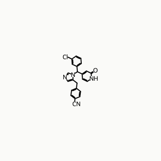 N#Cc1ccc(Cc2cncn2C(c2cccc(Cl)c2)c2cc[nH]c(=O)c2)cc1